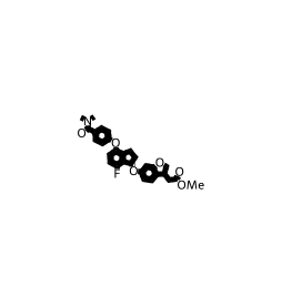 COC(=O)CC1COc2cc(O[C@@H]3CCc4c(Oc5ccc(C(=O)N(C)C)cc5)ccc(F)c43)ccc21